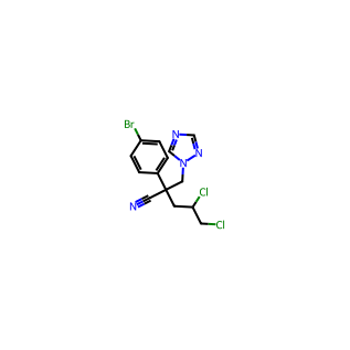 N#CC(CC(Cl)CCl)(Cn1cncn1)c1ccc(Br)cc1